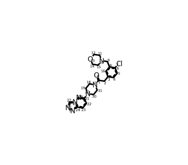 O=C(Cc1ccc(Cl)c(CN2CCOCC2)c1)N1CCN(c2ccc3nncn3n2)CC1